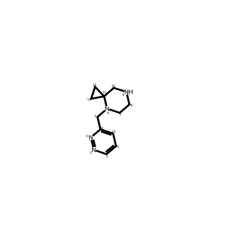 c1cnnc(CN2CCNCC23CC3)c1